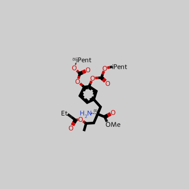 CCCC(C)OC(=O)Oc1cc(C[C@](N)(CC(C)OC(=O)CC)C(=O)OC)ccc1OC(=O)O[C@@H](C)CCC